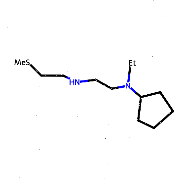 CCN(CCNCCSC)C1CCCC1